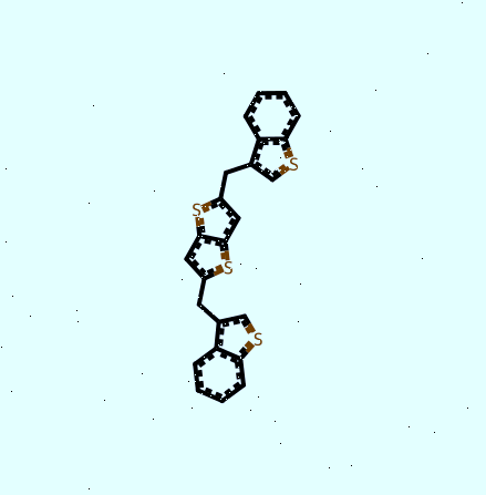 c1ccc2c(Cc3cc4sc(Cc5csc6ccccc56)cc4s3)csc2c1